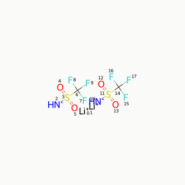 [Li+].[Li+].[NH-]S(=O)(=O)C(F)(F)F.[NH-]S(=O)(=O)C(F)(F)F